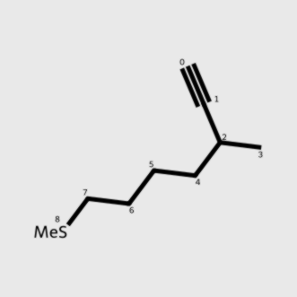 C#CC(C)CCCCS[CH2]